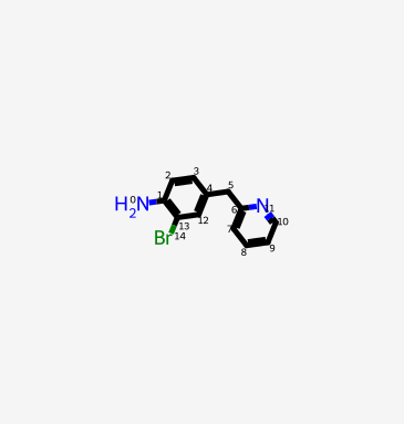 Nc1ccc(Cc2ccccn2)cc1Br